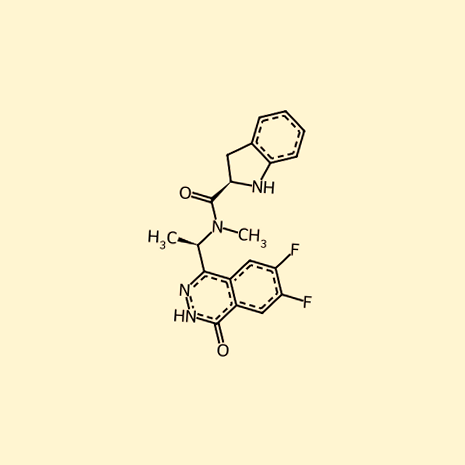 C[C@H](c1n[nH]c(=O)c2cc(F)c(F)cc12)N(C)C(=O)[C@H]1Cc2ccccc2N1